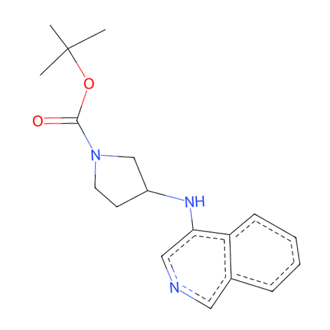 CC(C)(C)OC(=O)N1CCC(Nc2cncc3ccccc23)C1